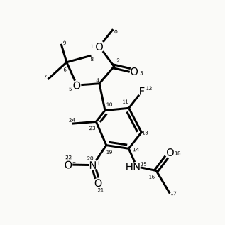 COC(=O)C(OC(C)(C)C)c1c(F)cc(NC(C)=O)c([N+](=O)[O-])c1C